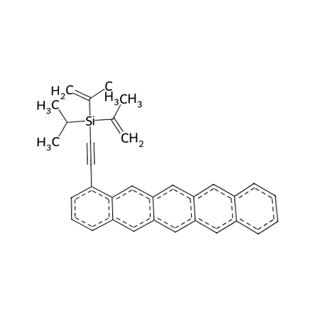 C=C(C)[Si](C#Cc1cccc2cc3cc4cc5ccccc5cc4cc3cc12)(C(=C)C)C(C)C